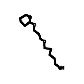 OCCCCCOCCCO[C@H]1CCCCO1